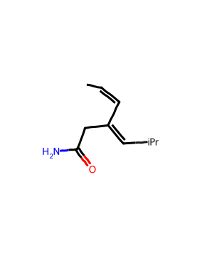 C/C=C\C(=C/C(C)C)CC(N)=O